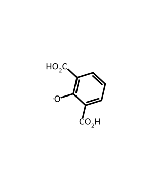 [O]c1c(C(=O)O)cccc1C(=O)O